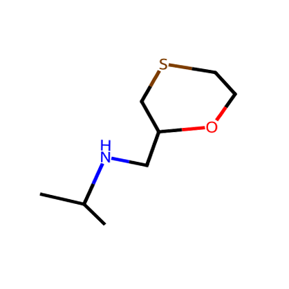 CC(C)NCC1CSCCO1